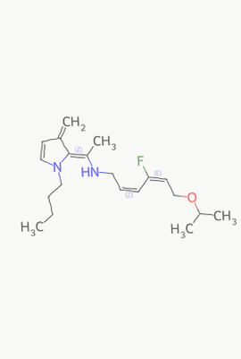 C=c1ccn(CCCC)/c1=C(/C)NC/C=C\C(F)=C/COC(C)C